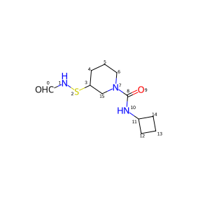 O=CNSC1CCCN(C(=O)NC2CCC2)C1